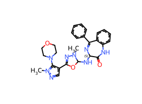 CN1N=C(c2cnn(C)c2N2CCOCC2)OC1N[C@H]1N=C(c2ccccc2)c2ccccc2NC1=O